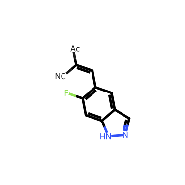 CC(=O)/C(C#N)=C/c1cc2cn[nH]c2cc1F